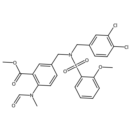 COC(=O)c1cc(CN(Cc2ccc(Cl)c(Cl)c2)S(=O)(=O)c2ccccc2OC)ccc1N(C)C=O